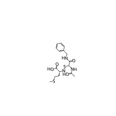 CSCC[C@H](NSC(NC(C)=O)C(=O)NCc1ccccc1)C(=O)O